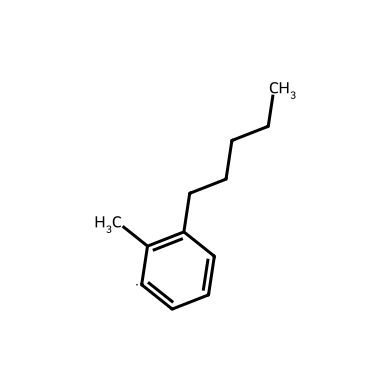 CCCCCc1ccc[c]c1C